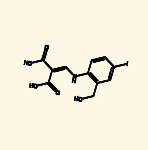 O=C(O)C(=CNc1ccc(I)cc1CO)C(=O)O